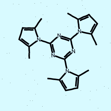 Cc1ccc(C)n1-c1nc(-n2c(C)ccc2C)nc(-n2c(C)ccc2C)n1